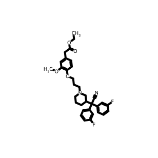 CCOC(=O)Cc1ccc(OCCCN2CCCC(C(C#N)(c3cccc(F)c3)c3cccc(F)c3)C2)c(OC)c1